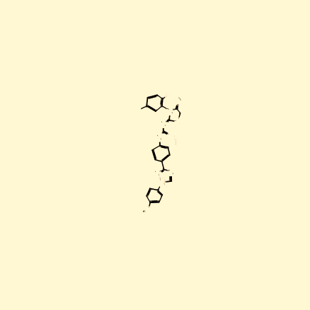 Cc1ccc(C(F)(F)F)c(N2C(=O)CSC2=NC(=O)Nc2ccc(-c3ncn(-c4ccc(OC(F)(F)F)cc4)n3)cc2Cl)c1